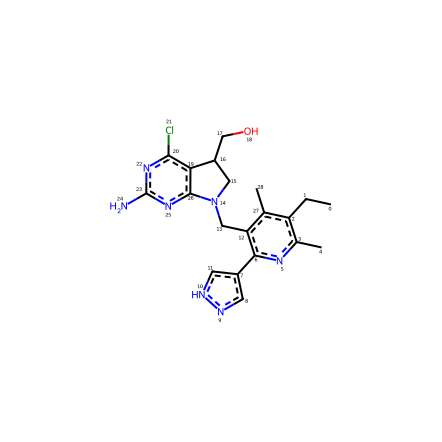 CCc1c(C)nc(-c2cn[nH]c2)c(CN2CC(CO)c3c(Cl)nc(N)nc32)c1C